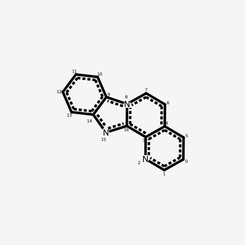 c1cnc2c(c1)ccn1c3ccccc3nc21